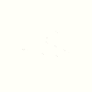 COCCn1ccc2nc(N)nc(N[C@H](C)c3ccccn3)c21